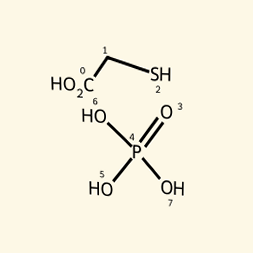 O=C(O)CS.O=P(O)(O)O